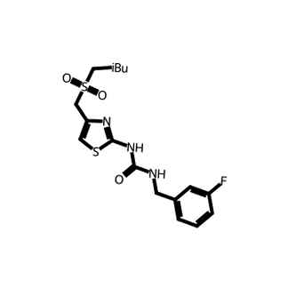 CCC(C)CS(=O)(=O)Cc1csc(NC(=O)NCc2cccc(F)c2)n1